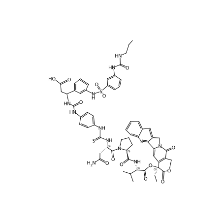 CCCNC(=O)Nc1cccc(S(=O)(=O)Nc2cccc(C(CC(=O)O)NC(=O)Nc3ccc(NC(=S)N[C@@H](CC(N)=O)C(=O)N4CCC[C@H]4C(=O)N[C@H](C(=O)O[C@]4(CC)C(=O)OCc5c4cc4n(c5=O)Cc5cc6ccccc6nc5-4)C(C)C)cc3)c2)c1